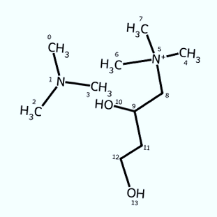 CN(C)C.C[N+](C)(C)CC(O)CCO